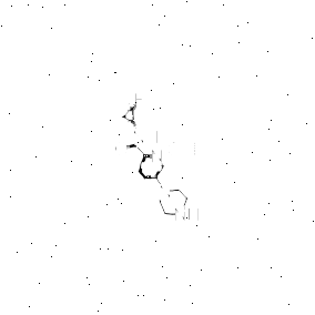 Cl.O=C(N[C@H]1C[C@H]1F)c1ccc(N2CCNCC2)cn1